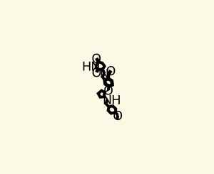 COC1CCC(CN[C@@H]2CCC[C@H]2Oc2ccc3c(c2)CN(C2CCC(=O)NC2=O)C3=O)CC1